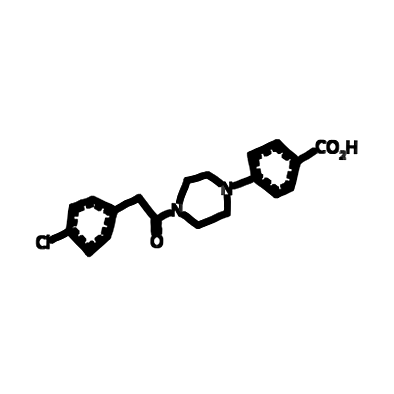 O=C(O)c1ccc(N2CCN(C(=O)Cc3ccc(Cl)cc3)CC2)cc1